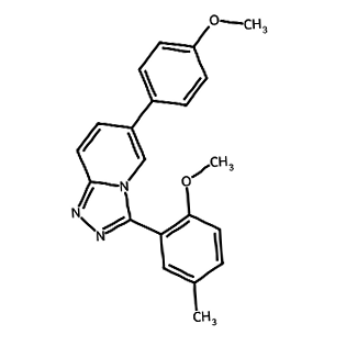 COc1ccc(-c2ccc3nnc(-c4cc(C)ccc4OC)n3c2)cc1